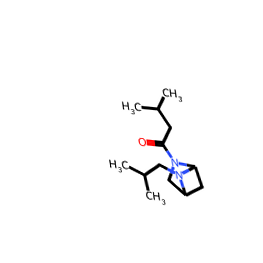 CC(C)CC(=O)N1CC2CC1N2CC(C)C